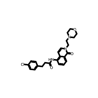 O=C(CCc1ccc(Cl)cc1)Nc1cccc2c(=O)n(CCN3CCOCC3)ccc12